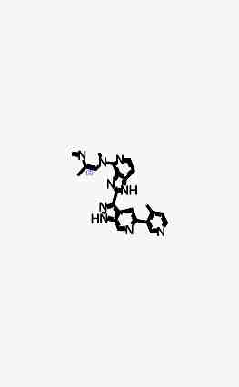 C=N/C(C)=C\N(C)c1nccc2[nH]c(-c3n[nH]c4cnc(-c5cnccc5C)cc34)nc12